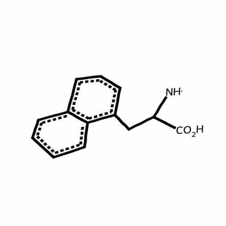 [NH]C(Cc1cccc2ccccc12)C(=O)O